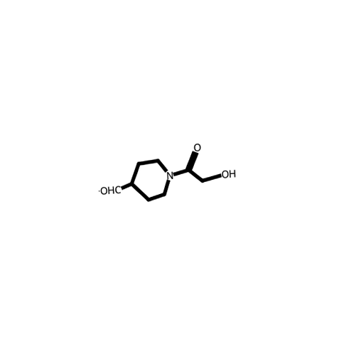 O=[C]C1CCN(C(=O)CO)CC1